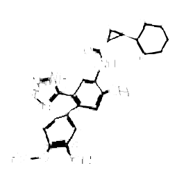 COc1ccc(-c2cc(C)c(NC(=O)[C@@H]3C[C@H]3C3CCCCC3)cc2-c2nnn[nH]2)cc1C